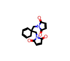 O=C1C=CC(=O)N1CC1(CN2C(=O)C=CC2=O)C=CC=CC1